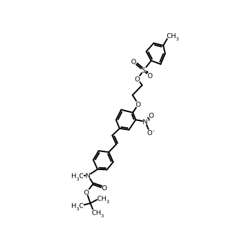 Cc1ccc(S(=O)(=O)OCCOc2ccc(/C=C/c3ccc(N(C)C(=O)OC(C)(C)C)cc3)cc2[N+](=O)[O-])cc1